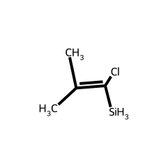 CC(C)=C([SiH3])Cl